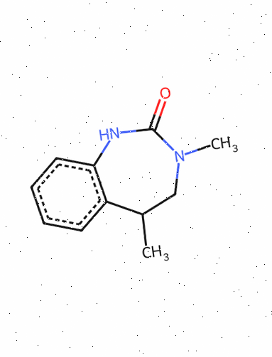 CC1CN(C)C(=O)Nc2ccccc21